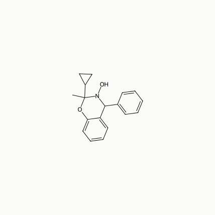 CC1(C2CC2)Oc2ccccc2C(c2ccccc2)N1O